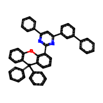 c1ccc(-c2cccc(-c3cc(-c4ccccc4)nc(-c4cccc5c4Oc4ccccc4[Si]5(c4ccccc4)c4ccccc4)n3)c2)cc1